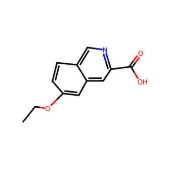 CCOc1ccc2cnc(C(=O)O)cc2c1